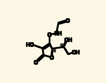 O=CNOC1=C(O)C(=O)O[C@@H]1[C@@H](O)CO